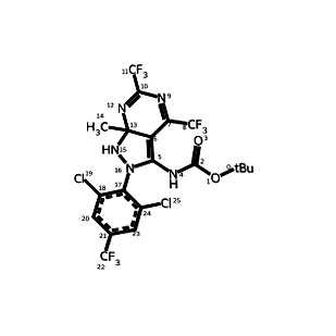 CC(C)(C)OC(=O)NC1=C2C(C(F)(F)F)=NC(C(F)(F)F)=NC2(C)NN1c1c(Cl)cc(C(F)(F)F)cc1Cl